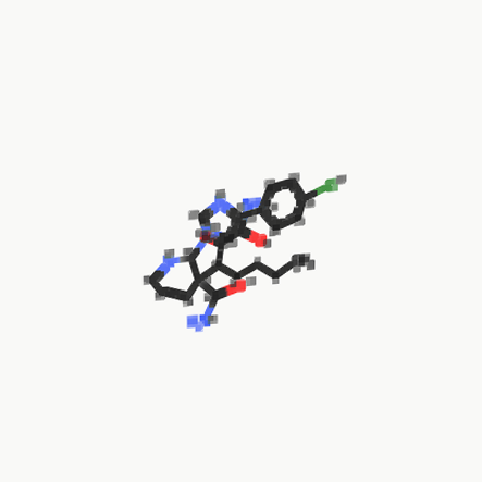 CCCCC(C(=O)C(N)=O)C1(C(N)=O)C=CC=NC1n1cnc(-c2ccc(Cl)cc2)c1